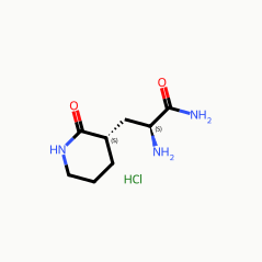 Cl.NC(=O)[C@@H](N)C[C@@H]1CCCNC1=O